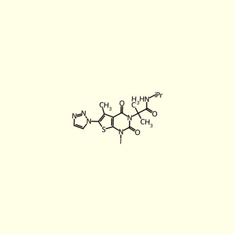 Cc1c(-n2ccnn2)sc2c1c(=O)n(C(C)(C)C(=O)NC(C)C)c(=O)n2I